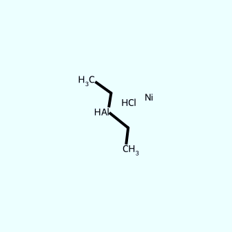 C[CH2][AlH][CH2]C.Cl.[Ni]